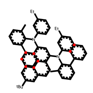 CCc1cccc(N(c2c(C)cccc2-c2ccccc2)c2cc(N(c3cccc(CC)c3)c3c(C)cccc3-c3ccccc3)c3ccc4cc(C(C)(C)C)cc5ccc2c3c54)c1